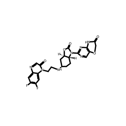 O=C1COc2cnc(N3C(=O)O[C@@H]4C[C@H](NCCn5c(=O)cnc6cc(F)c(F)cc65)CC[C@H]43)nc2N1